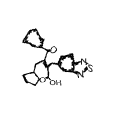 O=C(O)C(=C(CC1CCCC1)C(=O)c1ccccc1)c1ccc2nsnc2c1